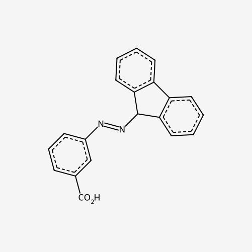 O=C(O)c1cccc(N=NC2c3ccccc3-c3ccccc32)c1